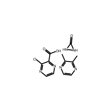 Cc1nccnc1C.O=C(O)c1nccnc1Cl.O=C1NN1